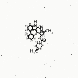 Cc1cc(CC(=O)N2CCN(C)CC2)c(/C=C2\C(=O)Nc3cccc(-c4ccccc4F)c32)[nH]1